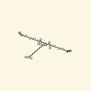 [N-]=[N+]=NCCOCCOCCOCCNC(=O)CCC(CCC(=O)NCCOCCOCCOCCN=[N+]=[N-])NC(=O)CCCCCCCCCCC(=O)O